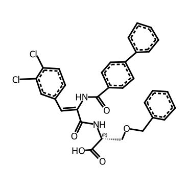 O=C(N[C@H](COCc1ccccc1)C(=O)O)C(=Cc1ccc(Cl)c(Cl)c1)NC(=O)c1ccc(-c2ccccc2)cc1